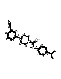 CC(C)c1ccc(NC(=O)N2CCN(c3cc(C#N)ccn3)CC2)cc1